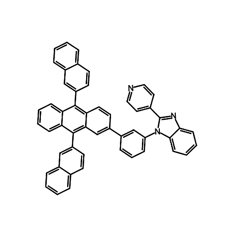 c1cc(-c2ccc3c(-c4ccc5ccccc5c4)c4ccccc4c(-c4ccc5ccccc5c4)c3c2)cc(-n2c(-c3ccncc3)nc3ccccc32)c1